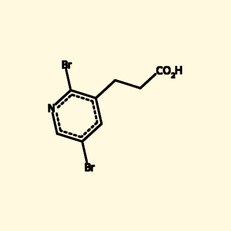 O=C(O)CCc1cc(Br)cnc1Br